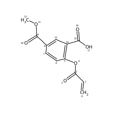 C=CC(=O)Oc1ccc(C(=O)OC)cc1C(=O)O